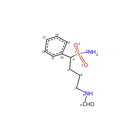 NS(=O)(=O)C(CCCNC=O)c1ccccc1